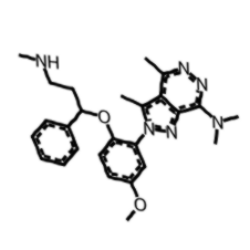 CNCCC(Oc1ccc(OC)cc1-n1nc2c(N(C)C)nnc(C)c2c1C)c1ccccc1